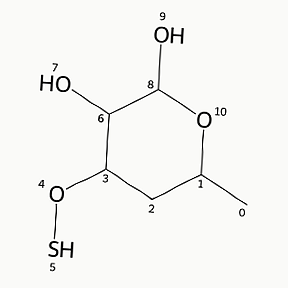 CC1CC(OS)C(O)C(O)O1